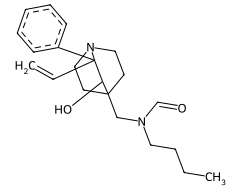 C=CC1(c2ccccc2)C(O)C2(CN(C=O)CCCC)CCN1CC2